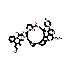 C=C(C(=O)N(C)C(C(=O)N[C@H]1Cc2nc(cs2)-c2ccc3c(c2)c(c(-c2cc(N4CCN(C)CC4)cnc2[C@H](C)OC)n3CC)CC(C)(C)COC(=O)[C@@H]2CCCN(N2)C1=O)C(C)C)/C(=C\CO)c1ccccc1